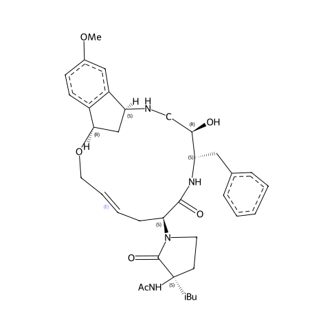 CCC(C)[C@@]1(NC(C)=O)CCN([C@H]2C/C=C/CO[C@@H]3C[C@H](NC[C@@H](O)[C@H](Cc4ccccc4)NC2=O)c2cc(OC)ccc23)C1=O